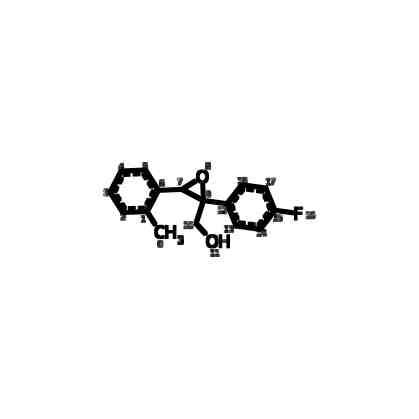 Cc1ccccc1C1OC1(CO)c1ccc(F)cc1